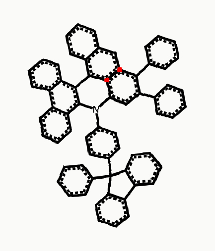 c1ccc(-c2ccc(N(c3ccc(C4(c5ccccc5)c5ccccc5-c5ccccc54)cc3)c3c(-c4cccc5ccccc45)c4ccccc4c4ccccc34)cc2-c2ccccc2)cc1